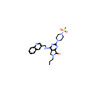 CCCN1Cc2c(NCc3cnc4ccccc4c3)nc(N3CCN(S(C)(=O)=O)CC3)nc2C1=O